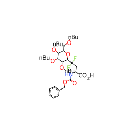 CCCCOC[C@H]1O[C@@H](C(F)(F)C[C@H](NC(=O)OCc2ccccc2)C(=O)O)[C@H](OCCCC)[C@@H](OCCCC)[C@H]1OCCCC